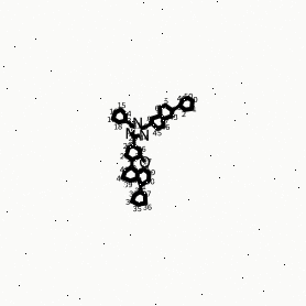 c1ccc(-c2ccc3cc(-c4nc(-c5ccccc5)nc(-c5ccc6c(c5)Oc5ccc(-c7ccccc7)c7cccc-6c57)n4)ccc3c2)cc1